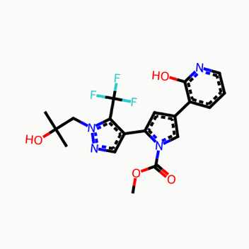 COC(=O)n1cc(-c2cccnc2O)cc1-c1cnn(CC(C)(C)O)c1C(F)(F)F